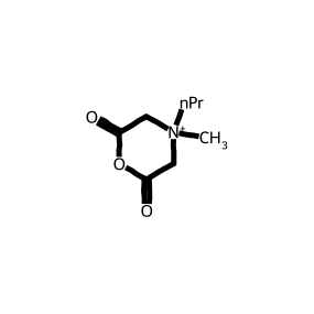 CCC[N+]1(C)CC(=O)OC(=O)C1